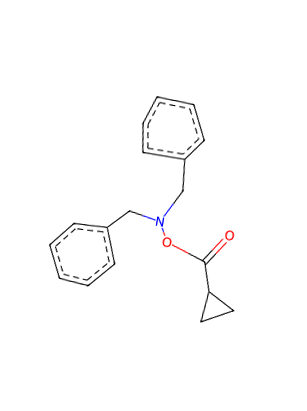 O=C(ON(Cc1ccccc1)Cc1ccccc1)C1CC1